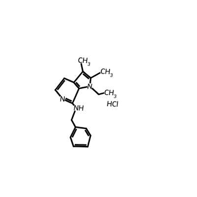 CCn1c(C)c(C)c2ccnc(NCc3ccccc3)c21.Cl